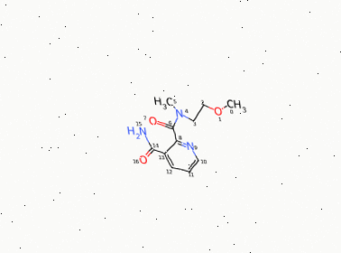 COCCN(C)C(=O)c1ncccc1C(N)=O